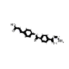 N=C(/N=N\N)c1ccc(C(=O)Nc2ccc(/C=C/C(=O)O)cc2)cc1